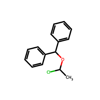 CC(Cl)OC(c1ccccc1)c1ccccc1